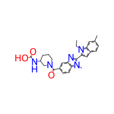 CCn1c(-c2nc3cc(C(=O)N4CCCC(NC(=O)O)C4)ccc3n2C)cc2ccc(C)cc21